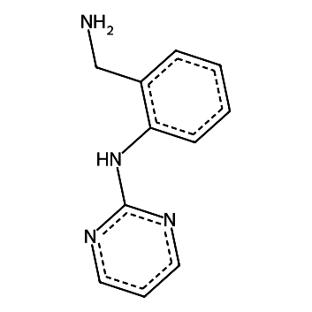 NCc1ccccc1Nc1ncccn1